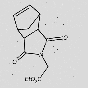 CCOC(=O)CN1C(=O)C2C3C=CC(C3)C2C1=O